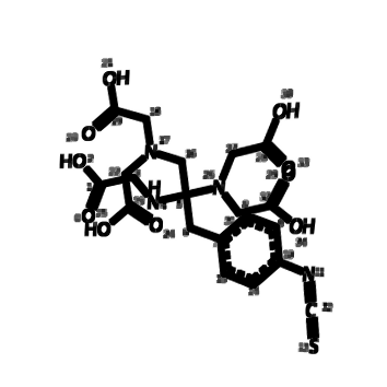 O=C(O)CNC(Cc1ccc(N=C=S)cc1)(CN(CC(=O)O)CC(=O)O)N(CC(=O)O)CC(=O)O